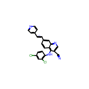 N#Cc1cnc2cc(/C=C/c3ccncc3)ccc2c1Nc1ccc(Cl)cc1Cl